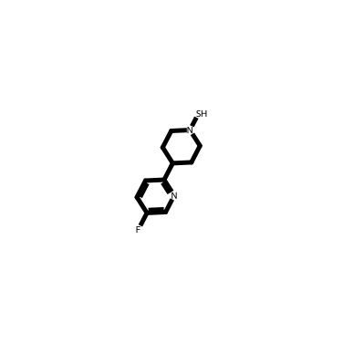 Fc1ccc(C2CCN(S)CC2)nc1